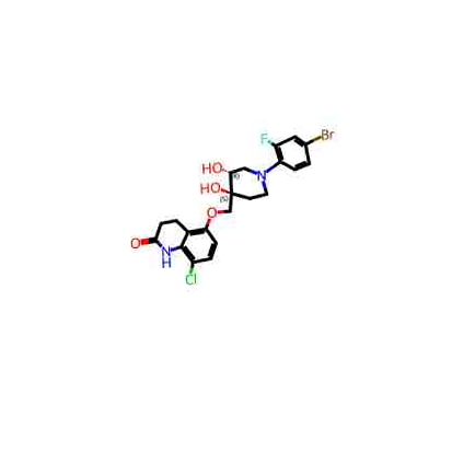 O=C1CCc2c(OC[C@@]3(O)CCN(c4ccc(Br)cc4F)C[C@H]3O)ccc(Cl)c2N1